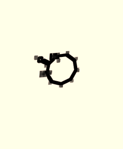 O=C1NCCCCCCN1